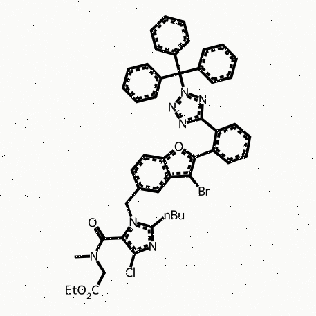 CCCCc1nc(Cl)c(C(=O)N(C)CC(=O)OCC)n1Cc1ccc2oc(-c3ccccc3-c3nnn(C(c4ccccc4)(c4ccccc4)c4ccccc4)n3)c(Br)c2c1